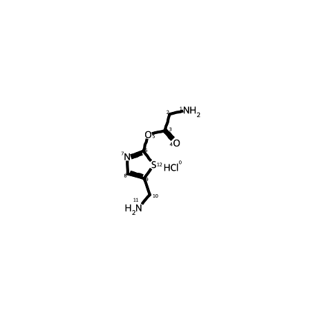 Cl.NCC(=O)Oc1ncc(CN)s1